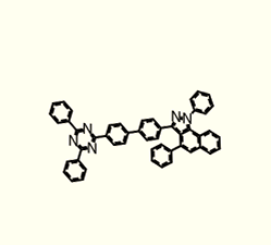 c1ccc(-c2nc(-c3ccccc3)nc(-c3ccc(-c4ccc(-c5nn(-c6ccccc6)c6c5c(-c5ccccc5)cc5ccccc56)cc4)cc3)n2)cc1